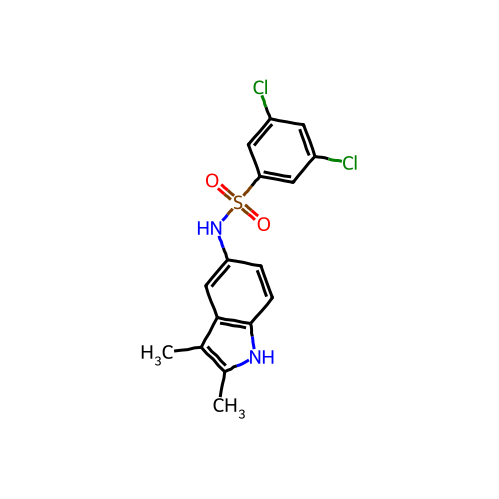 Cc1[nH]c2ccc(NS(=O)(=O)c3cc(Cl)cc(Cl)c3)cc2c1C